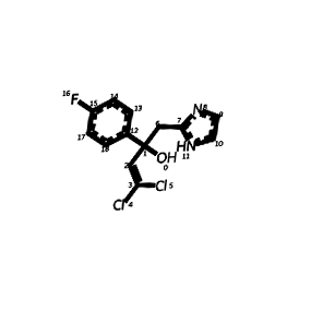 OC(C=C(Cl)Cl)(Cc1ncc[nH]1)c1ccc(F)cc1